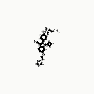 CCCS(=O)(=O)Nc1ccc(-c2c(C#N)c3ccc(OCCn4cncn4)cc3n2C2CCC2)cc1